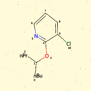 CCCCC(CCC)Oc1ncccc1Cl